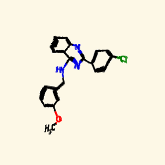 COc1cccc(CNc2nc(-c3ccc(Cl)cc3)nc3ccccc23)c1